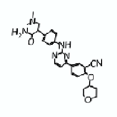 CN(C)CC(C(N)=O)c1ccc(Nc2nccc(-c3ccc(OC4CCOCC4)c(C#N)c3)n2)cc1